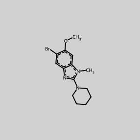 COc1cc2c(cc1Br)nc(N1CCCCC1)n2C